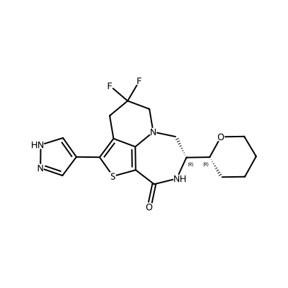 O=C1N[C@@H]([C@H]2CCCCO2)CN2CC(F)(F)Cc3c(-c4cn[nH]c4)sc1c32